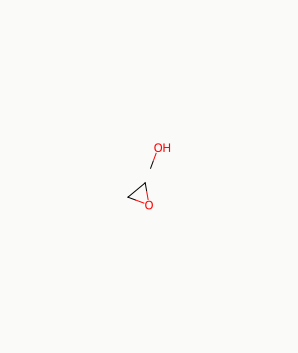 C1CO1.CO